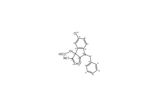 C=C(C#N)C1(OC(=O)O)C(=O)N(Cc2ccccc2)c2ccc(Cl)cc21